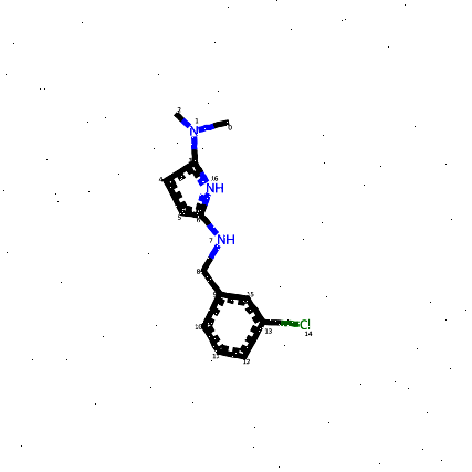 CN(C)c1ccc(NCc2cccc(Cl)c2)[nH]1